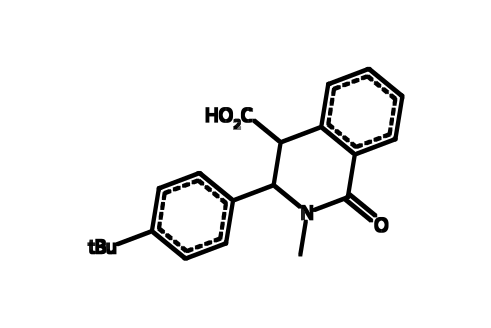 CN1C(=O)c2ccccc2C(C(=O)O)C1c1ccc(C(C)(C)C)cc1